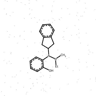 CCN(C)N(c1ccccc1O)C1Cc2ccccc2C1